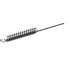 CCCCCCCCCCCCCCCCCCCCCCCCCCCCCC[SiH2]O[SiH2]O[SiH2]O[SiH2]O[SiH2]O[SiH2]O[SiH2]O[SiH2]O[SiH2]O[SiH2]O[SiH2]O[SiH2]O[SiH2]O[SiH2]O[SiH2]O[SiH3]